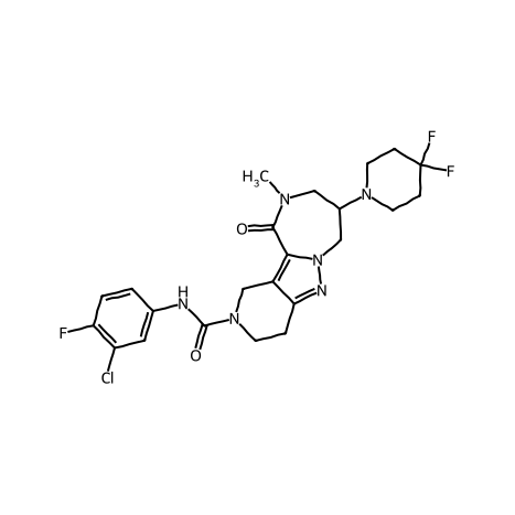 CN1CC(N2CCC(F)(F)CC2)Cn2nc3c(c2C1=O)CN(C(=O)Nc1ccc(F)c(Cl)c1)CC3